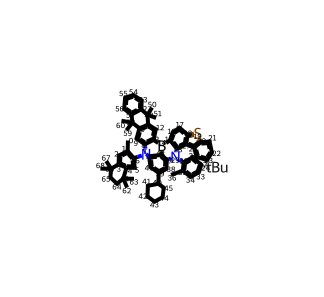 Cc1cc2c(cc1N1c3cc4c(cc3B3c5ccc6sc7ccc(C(C)(C)C)cc7c6c5N(c5ccccc5C)c5cc(C6CCCCC6)cc1c53)C(C)(C)c1ccccc1C4(C)C)C(C)(C)CCC2(C)C